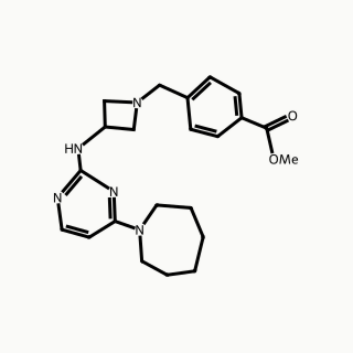 COC(=O)c1ccc(CN2CC(Nc3nccc(N4CCCCCC4)n3)C2)cc1